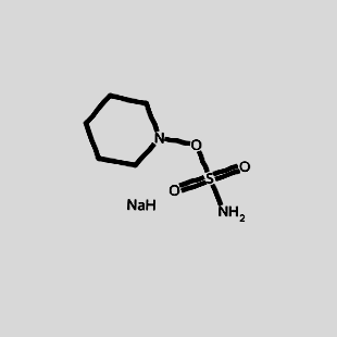 NS(=O)(=O)ON1CCCCC1.[NaH]